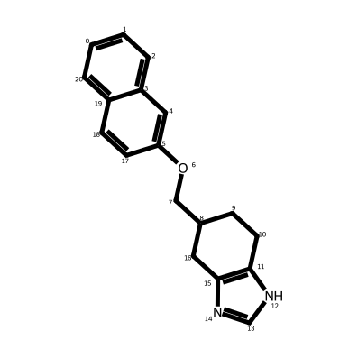 c1ccc2cc(OCC3CCc4[nH]cnc4C3)ccc2c1